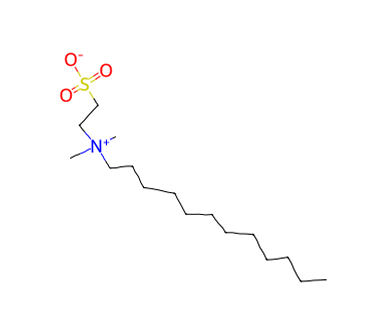 CCCCCCCCCCCC[N+](C)(C)CCS(=O)(=O)[O-]